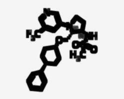 CS(=O)(=O)N[C@H]1CCN(c2cncc(C(F)(F)F)c2)[C@H]1CO[C@H]1CC[C@@H](c2ccccc2)CC1